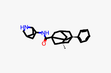 C[C@@]12CC3CC(C(=O)NC4CC5CNC4C5)(C1)C[C@](c1ccccc1)(C3)C2